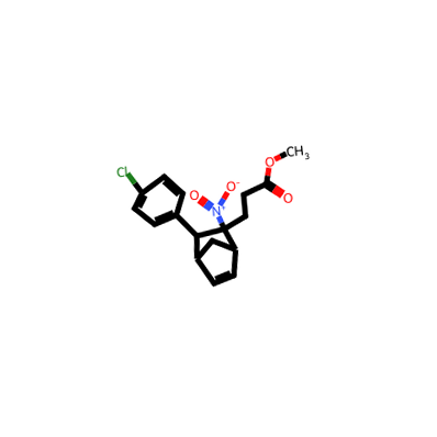 COC(=O)CCC1([N+](=O)[O-])C2C=CC(C2)C1c1ccc(Cl)cc1